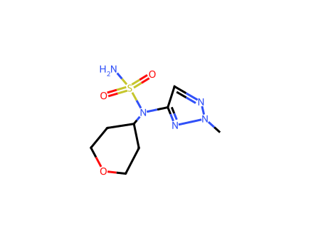 Cn1ncc(N(C2CCOCC2)S(N)(=O)=O)n1